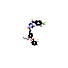 COc1cc(/C=C/C(=O)N2CCN(C(=O)c3ccc(F)cc3)CC2)ccc1OCc1ccccc1F